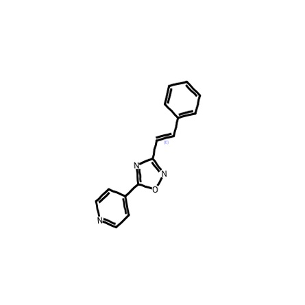 C(=C\c1noc(-c2ccncc2)n1)/c1ccccc1